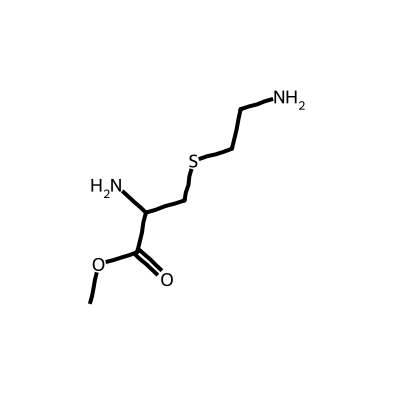 COC(=O)C(N)CSCCN